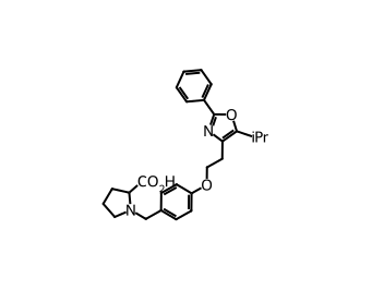 CC(C)c1oc(-c2ccccc2)nc1CCOc1ccc(CN2CCCC2C(=O)O)cc1